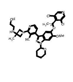 COc1cc2c(cc1O[C@H](C)c1c(Cl)cncc1Cl)c(-c1ccnc(N3CC(C)(NCCO)C3)c1C#N)nn2C1CCCCO1